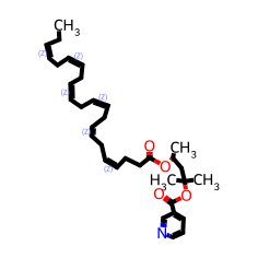 CC/C=C\C/C=C\C/C=C\C/C=C\C/C=C\C/C=C\CCC(=O)OC(C)CC(C)(C)OC(=O)c1cccnc1